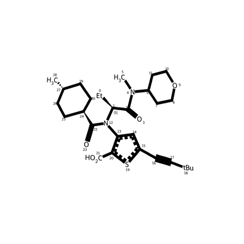 CC[C@@H](C(=O)N(C)C1CCOCC1)N(c1cc(C#CC(C)(C)C)sc1C(=O)O)C(=O)[C@H]1CC[C@H](C)CC1